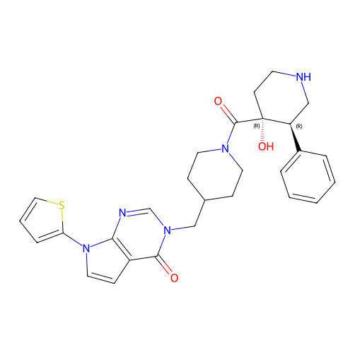 O=C(N1CCC(Cn2cnc3c(ccn3-c3cccs3)c2=O)CC1)[C@@]1(O)CCNC[C@H]1c1ccccc1